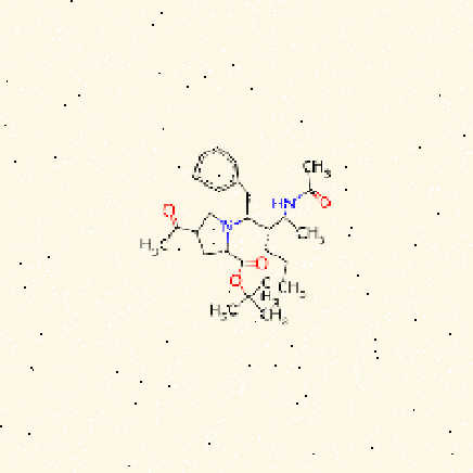 CCC[C@@H](C(C)NC(C)=O)[C@H](Cc1ccccc1)N1CC(C(C)=O)CC1C(=O)OC(C)(C)C